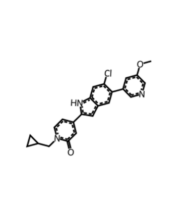 COc1cncc(-c2cc3cc(-c4ccn(CC5CC5)c(=O)c4)[nH]c3cc2Cl)c1